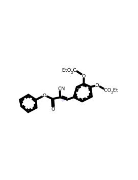 CCOC(=O)Oc1ccc(/C=C(\C#N)C(=O)Oc2ccccc2)cc1OC(=O)OCC